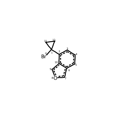 BrC1(c2cccc3cocc23)CC1